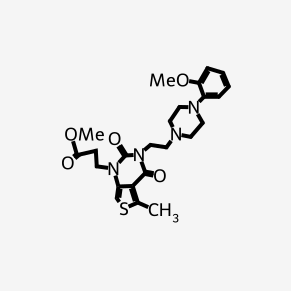 COC(=O)CCn1c(=O)n(CCN2CCN(c3ccccc3OC)CC2)c(=O)c2c(C)scc21